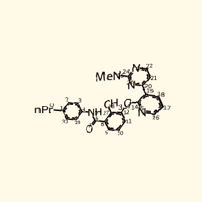 CCCc1ccc(NC(=O)c2cccc(Oc3ncccc3-c3ccnc(NC)n3)c2C)cc1